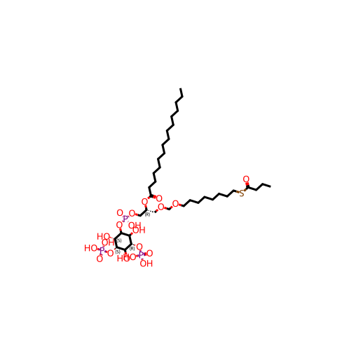 CCCCCCCCCCCCCCCC(=O)O[C@H](COCOCCCCCCCCSC(=O)CCC)COP(=O)(O)OC1C(O)[C@H](OP(=O)(O)O)C(O)[C@H](OP(=O)(O)O)[C@@H]1O